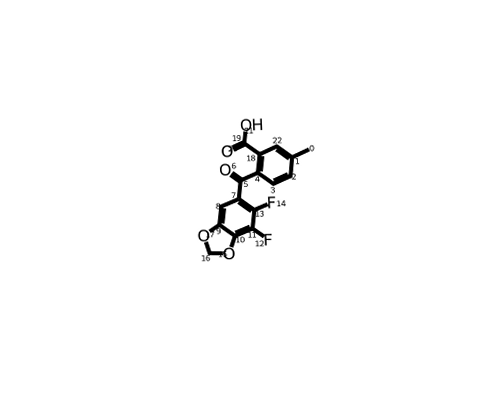 Cc1ccc(C(=O)c2cc3c(c(F)c2F)OCO3)c(C(=O)O)c1